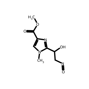 COC(=O)c1cn(C)c(C(O)CN=O)n1